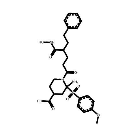 COc1ccc(S(=O)(=O)C2(N)CC(C(=O)O)CCN2C(=O)CCC(CCc2ccccc2)C(=O)NO)cc1